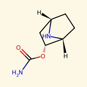 NC(=O)O[C@@H]1C[C@@H]2CC[C@H]1N2